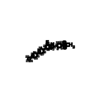 CS(=O)(=O)c1ccc(-c2cn3cc(C4CCN(C5CCN(C6CCC6)CC5)CC4)cc(F)c3n2)cc1